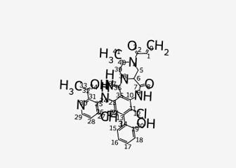 C=CC(=O)N1CC2C(=O)Nc3c(Cl)c(-c4ccccc4O)c(F)c(Nc4c(C)ccnc4C(C)O)c3C(=N)N2CC1C